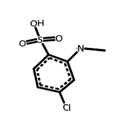 C[N]c1cc(Cl)ccc1S(=O)(=O)O